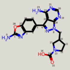 Nc1nc2cc(-c3nn(CC4CCN(C(=O)O)C4)c4ncnc(N)c34)ccc2o1